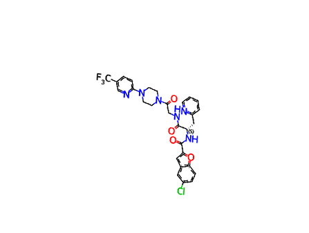 O=C(N[C@@H](Cc1ccccn1)C(=O)NCC(=O)N1CCN(c2ccc(C(F)(F)F)cn2)CC1)c1cc2cc(Cl)ccc2o1